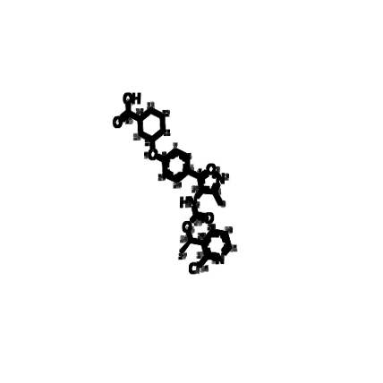 Cc1noc(-c2ccc(OC3CCCC(C(=O)O)C3)cc2)c1NC(=O)O[C@H](C)c1cccnc1Cl